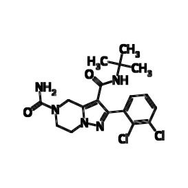 CC(C)(C)NC(=O)c1c(-c2cccc(Cl)c2Cl)nn2c1CN(C(N)=O)CC2